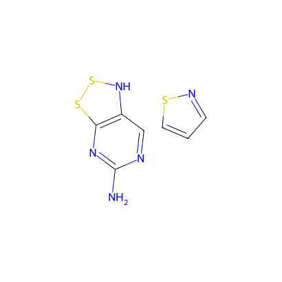 Nc1ncc2c(n1)SSN2.c1cnsc1